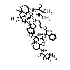 CN[C@@H](C)C(=O)NC[C@H]1CCS[C@H]2CC(C)(C)[C@@H](C(=O)N[C@H]3c4ccccc4C[C@H]3OCCCCO[C@@H]3Cc4ccccc4[C@@H]3NC(=O)[C@H]3N4C(=O)[C@@H](NC(=O)[C@H](C)NC)CCS[C@H]4CC3(C)C)N2C1=O